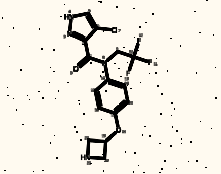 O=C(c1n[nH]cc1Cl)N(CC(F)(F)F)c1ccc(OC2CNC2)cc1